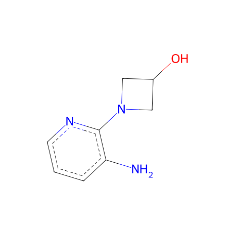 Nc1cccnc1N1CC(O)C1